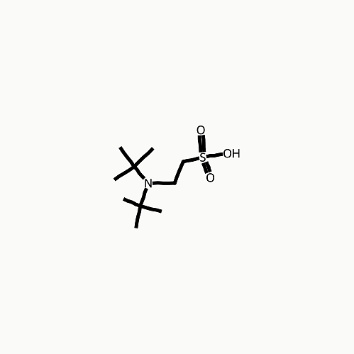 CC(C)(C)N(CCS(=O)(=O)O)C(C)(C)C